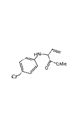 C=CC(Nc1ccc(Cl)cc1)C(=O)OC